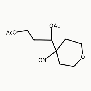 CC(=O)OC[CH]C(OC(C)=O)C1(N=O)CCOCC1